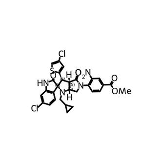 COC(=O)c1ccc(N2C[C@H]3[C@@H](C2=O)[C@H](c2cc(Cl)cs2)[C@]2(C(=O)Nc4cc(Cl)ccc42)N3CC2CC2)c([N+](=O)[O-])c1